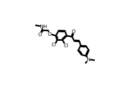 CNC(=O)COc1ccc(C(=O)C=Cc2ccc(N(C)C)cc2)c(Cl)c1Cl